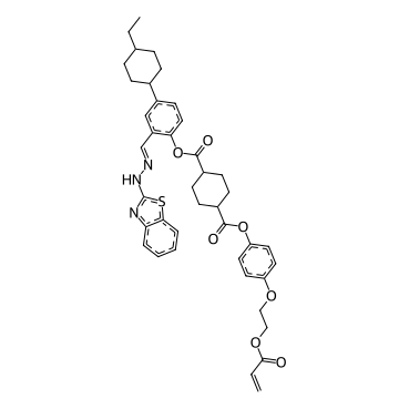 C=CC(=O)OCCOc1ccc(OC(=O)C2CCC(C(=O)Oc3ccc(C4CCC(CC)CC4)cc3/C=N/Nc3nc4ccccc4s3)CC2)cc1